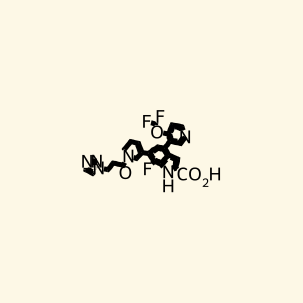 O=C(O)c1cc2c(-c3cnccc3OC(F)F)cc(C3=CCCN(C(=O)CCn4ccnn4)C3)c(F)c2[nH]1